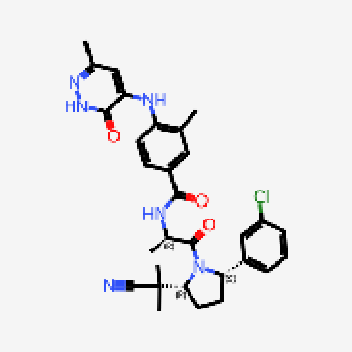 Cc1cc(Nc2ccc(C(=O)N[C@H](C)C(=O)N3[C@H](c4cccc(Cl)c4)CC[C@@H]3C(C)(C)C#N)cc2C)c(=O)[nH]n1